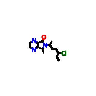 C=C/C(Cl)=C\C=C(/C)N1C(=O)c2nccnc2C1C